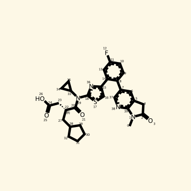 CN1C(=O)Cc2cc(-c3ccc(F)cc3-c3csc(N(C(=O)[C@@H](CC(=O)O)CC4CCCC4)C4CC4)n3)cnc21